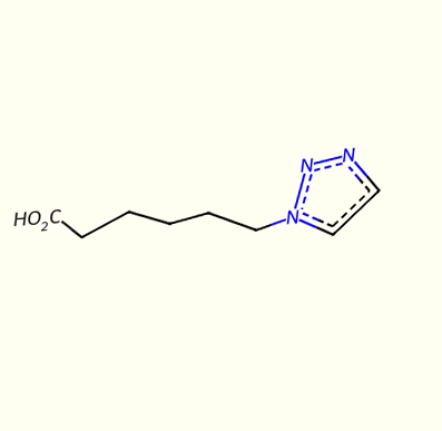 O=C(O)CCCCCn1ccnn1